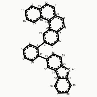 c1ccc(-c2ccc3ccc4ccc5ccccc5c4c3c2)c(-c2ccc3sc4ccccc4c3c2)c1